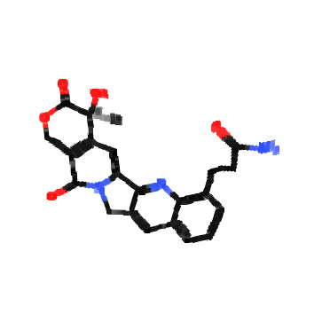 CC[C@@]1(O)C(=O)OCc2c1cc1n(c2=O)Cc2cc3cccc(CCC(N)=O)c3nc2-1